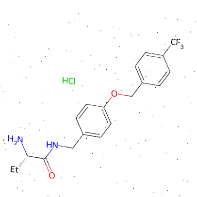 CC[C@H](N)C(=O)NCc1ccc(OCc2ccc(C(F)(F)F)cc2)cc1.Cl